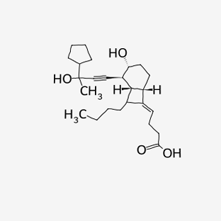 CCCCC1C(=CCCC(=O)O)[C@H]2CC[C@@H](O)[C@H](C#CC(C)(O)C3CCCC3)[C@@H]12